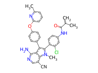 C=C(C)C(=O)Nc1ccc(-c2c(-c3ccc(Oc4cccc(C)n4)cc3)c3c(N)ncc(C#N)c3n2C)c(Cl)c1